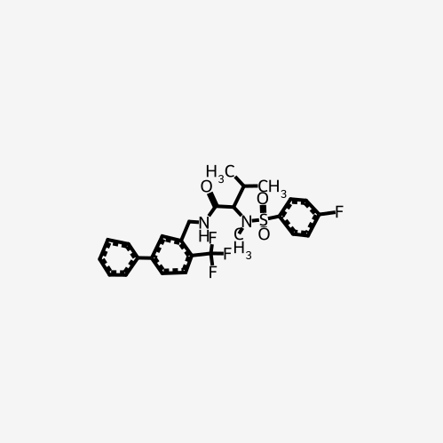 CC(C)C(C(=O)NCc1cc(-c2ccccc2)ccc1C(F)(F)F)N(C)S(=O)(=O)c1ccc(F)cc1